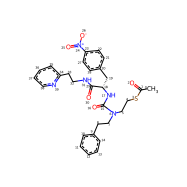 CC(=O)SCCN(CCc1ccccc1)C(=O)N[C@@H](Cc1ccc([N+](=O)[O-])cc1)C(=O)NCCc1ccccn1